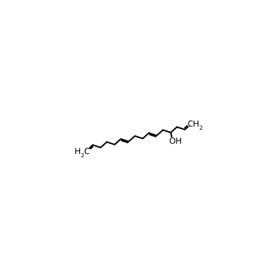 C=CCCC/C=C/CC/C=C/CC(O)CC=C